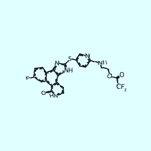 O=C(OCCNc1ccc(Sc2nc3c4ccc(F)cc4c4c(=O)[nH]ccc4c3[nH]2)cn1)C(F)(F)F